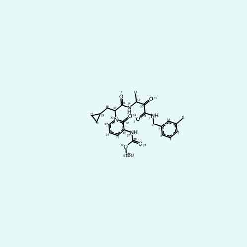 Cc1cccc(CNC(=O)C(=O)C(C)NC(=O)C(CC2CC2)n2cccc(NC(=O)OC(C)(C)C)c2=O)c1